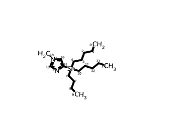 CCCC[CH2][Sn]([CH2]CCC)([CH2]CCCC)[c]1cn(C)cn1